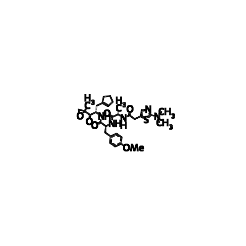 COc1ccc(C[C@H](NC(=O)[C@H](C)NC(=O)Cc2cnc(N(C)C)s2)C(=O)N[C@@H](CC2=CCCC2)C(=O)[C@@]2(C)CO2)cc1